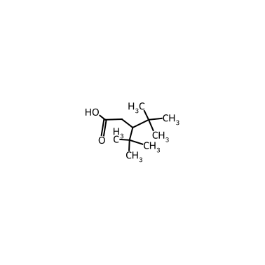 CC(C)(C)C(CC(=O)O)C(C)(C)C